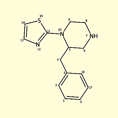 c1ccc(CC2CNCCN2c2nccs2)cc1